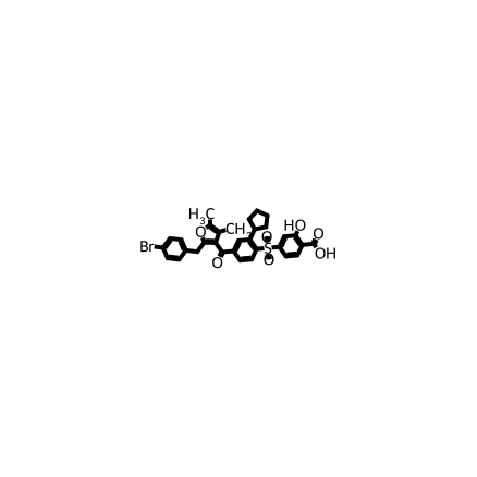 Cc1oc(Cc2ccc(Br)cc2)c(C(=O)c2ccc(S(=O)(=O)c3ccc(C(=O)O)c(O)c3)c(C3CCCC3)c2)c1C